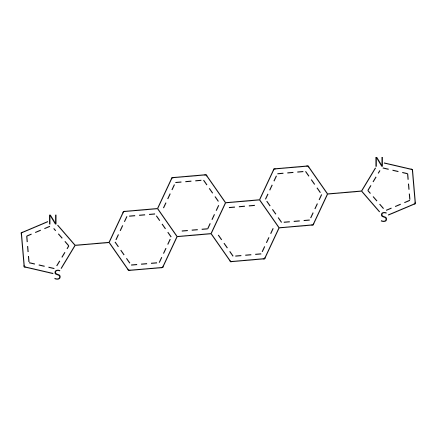 c1csc(-c2ccc3c(ccc4c5ccc(-c6nccs6)cc5ccc34)c2)n1